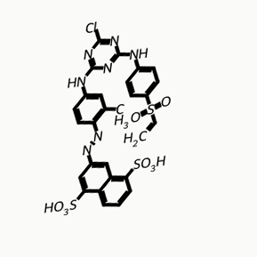 C=CS(=O)(=O)c1ccc(Nc2nc(Cl)nc(Nc3ccc(N=Nc4cc(S(=O)(=O)O)c5cccc(S(=O)(=O)O)c5c4)c(C)c3)n2)cc1